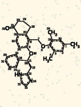 Cc1cc(C)c(OCc2c(O[C@@H](Cc3ncc[nH]3)c3ccccc3)ccc3c2CCCC3=O)c(C)c1